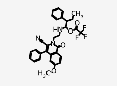 CCC(c1ccccc1)C(NCCn1c(C#N)c(-c2ccccc2)c2cc(OC)ccc2c1=O)OC(=O)C(F)(F)F